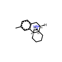 Cc1ccc2c(c1)[C@@]13CCCC[C@H]1[C@@H](C2)NCC3